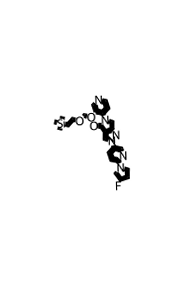 C[Si](C)(C)CCOCOc1cnccc1N1Cc2nn(-c3ccc(N4CC[C@@H](F)C4)nc3)cc2C1=O